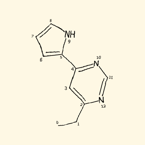 CCc1cc(-c2ccc[nH]2)ncn1